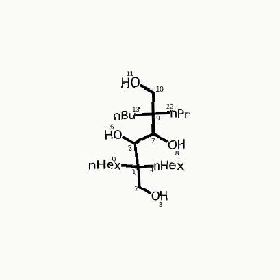 CCCCCCC(CO)(CCCCCC)C(O)C(O)C(CO)(CCC)CCCC